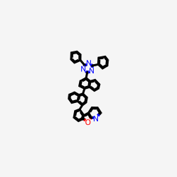 c1ccc(-c2nc(-c3ccccc3)nc(-c3ccc(-c4ccc(-c5cccc6oc7ncccc7c56)c5ccccc45)c4ccccc34)n2)cc1